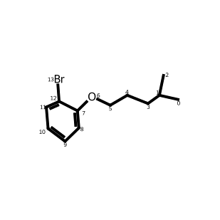 CC(C)CCCOc1ccccc1Br